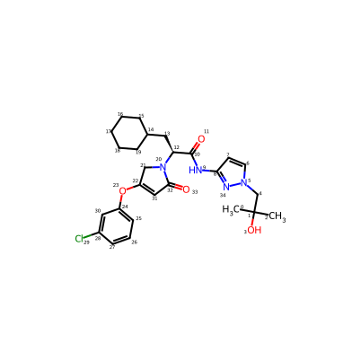 CC(C)(O)Cn1ccc(NC(=O)[C@H](CC2CCCCC2)N2CC(Oc3cccc(Cl)c3)=CC2=O)n1